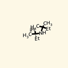 CCC(C)(C)N[C@](C)(CC)C(C)C